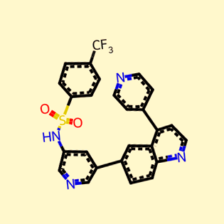 O=S(=O)(Nc1cncc(-c2ccc3nccc(-c4ccncc4)c3c2)c1)c1ccc(C(F)(F)F)cc1